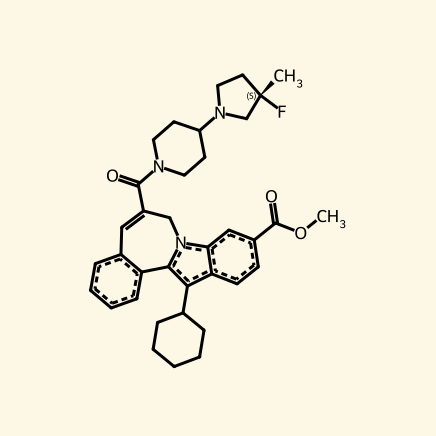 COC(=O)c1ccc2c(C3CCCCC3)c3n(c2c1)CC(C(=O)N1CCC(N2CC[C@](C)(F)C2)CC1)=Cc1ccccc1-3